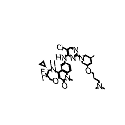 C[C@H]1C[C@@H](OCCCN(C)C)CN(c2ncc(Cl)c(Nc3ccc4c(c3)c3c(c(=O)n4C)OCC(F)(F)[C@H](C4CC4)N3)n2)C1